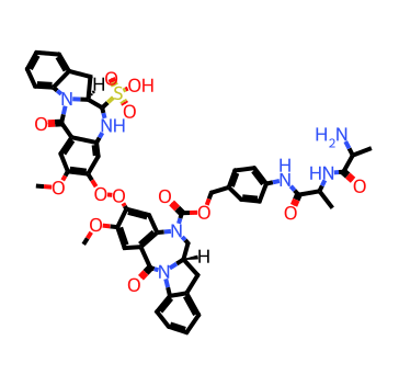 COc1cc2c(cc1OOc1cc3c(cc1OC)C(=O)N1c4ccccc4C[C@H]1CN3C(=O)OCc1ccc(NC(=O)C(C)NC(=O)C(C)N)cc1)NC(S(=O)(=O)O)[C@@H]1Cc3ccccc3N1C2=O